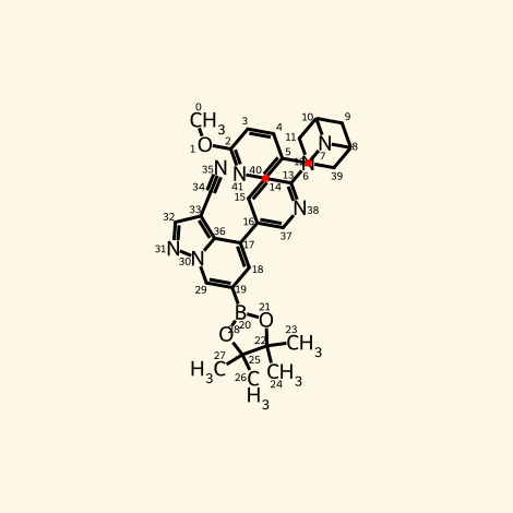 COc1ccc(CN2C3CC2CN(c2ccc(-c4cc(B5OC(C)(C)C(C)(C)O5)cn5ncc(C#N)c45)cn2)C3)cn1